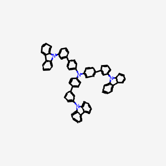 C1=CC2c3ccccc3N(c3cccc(-c4ccc(N(c5ccc(-c6cccc(-n7c8ccccc8c8ccccc87)c6)cc5)c5ccc(-c6cccc(-n7c8ccccc8c8ccccc87)c6)cc5)cc4)c3)C2C=C1